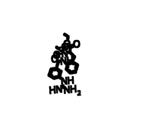 CCOC(=O)C(Cc1ccccc1)N(NC(=O)c1cccc(NC(=N)N)c1)S(C)(=O)=O